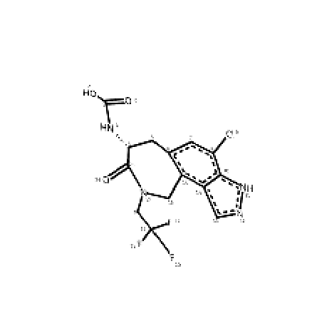 O=C(O)N[C@@H]1Cc2cc(Cl)c3[nH]ncc3c2CN(CC(F)(F)F)C1=O